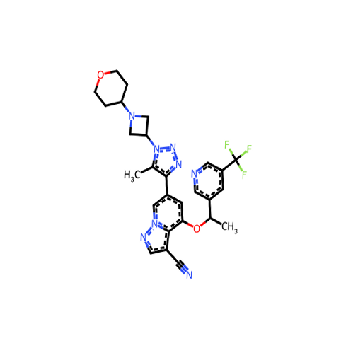 Cc1c(-c2cc(OC(C)c3cncc(C(F)(F)F)c3)c3c(C#N)cnn3c2)nnn1C1CN(C2CCOCC2)C1